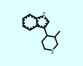 CC1CNCCC1c1c[nH]c2ccccc12